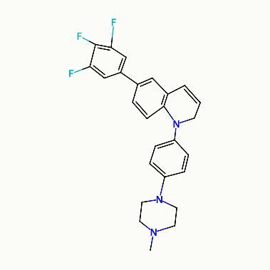 CN1CCN(c2ccc(N3CC=Cc4cc(-c5cc(F)c(F)c(F)c5)ccc43)cc2)CC1